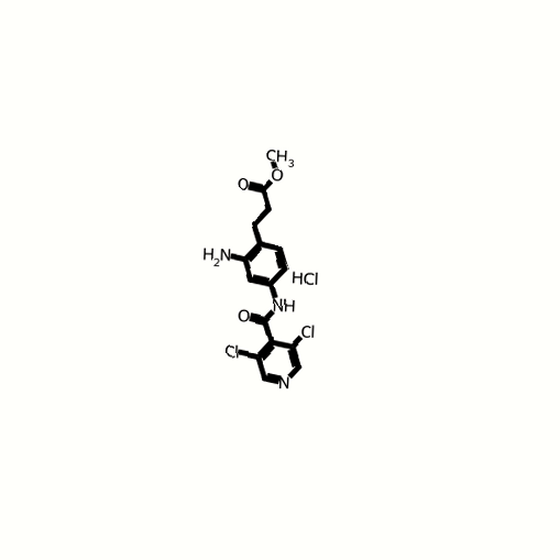 COC(=O)CCc1ccc(NC(=O)c2c(Cl)cncc2Cl)cc1N.Cl